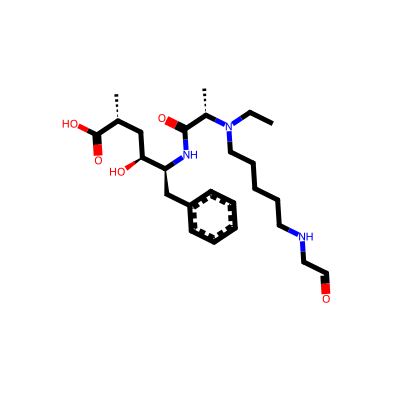 CCN(CCCCCNCC=O)[C@@H](C)C(=O)N[C@@H](Cc1ccccc1)[C@@H](O)C[C@@H](C)C(=O)O